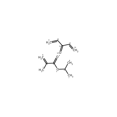 C=C(C)C(=O)OC(C)C.C=CC(=O)C=C